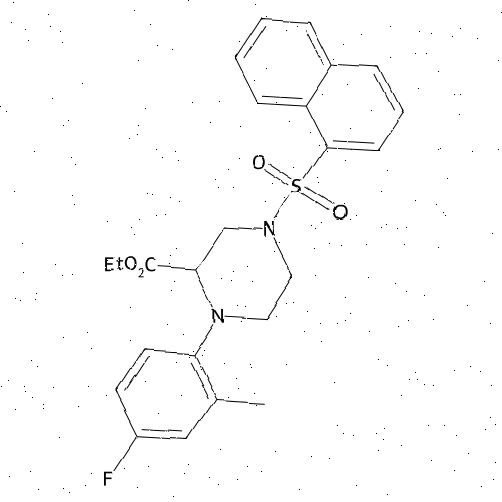 CCOC(=O)C1CN(S(=O)(=O)c2cccc3ccccc23)CCN1c1ccc(F)cc1C